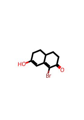 O=C1CCC2CCC(O)=CC2=C1Br